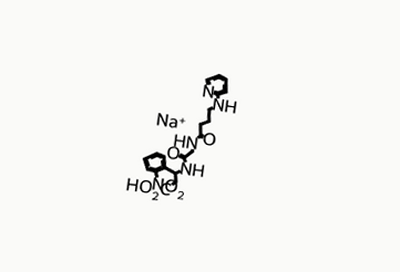 O=C(O)CC(NC(=O)CNC(=O)CCCNc1ccccn1)c1ccccc1[N+](=O)[O-].[Na+]